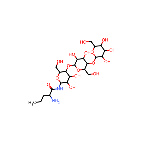 CCCC(N)C(=O)NC1OC(CO)C(OC2OC(CO)C(OC3OC(CO)C(O)C(O)C3O)C(O)C2O)C(O)C1O